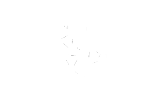 Cl.Cl.Nc1ccc2c3ccc(N)cc3n(Cc3ccccc3C(F)(F)F)c2c1